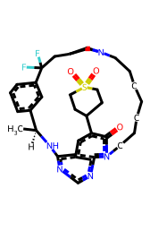 C[C@@H]1Nc2ncnc3c2cc(C2CCS(=O)(=O)CC2)c(=O)n3CCCCCCCN2CC(C2)CC(F)(F)c2cccc1c2